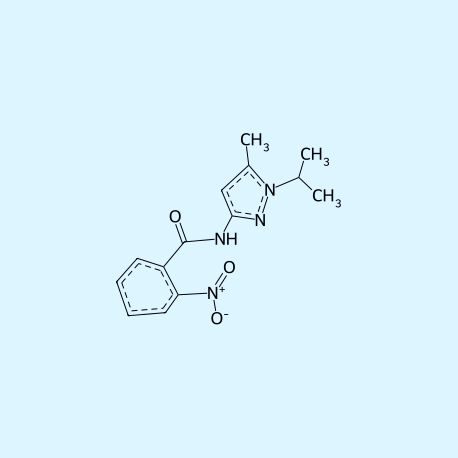 Cc1cc(NC(=O)c2ccccc2[N+](=O)[O-])nn1C(C)C